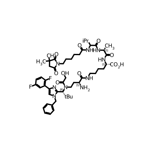 CC(C)C(NC(=O)CCCCCN1C(=O)CC(C)(C)C1=O)C(=O)N[C@@H](C)C(=O)N[C@@H](CCCCNC(=O)[C@@H](N)CCN(C(=O)CO)[C@@H](c1nc(-c2cc(F)ccc2F)cn1Cc1ccccc1)C(C)(C)C)C(=O)O